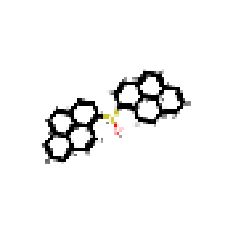 [O-][S+](c1ccc2ccc3cccc4ccc1c2c34)c1ccc2ccc3cccc4ccc1c2c34